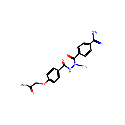 COC(=O)COc1ccc(C(=O)NN(C)C(=O)c2ccc(C(=N)N)cc2)cc1